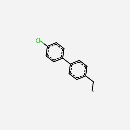 [CH2]Cc1ccc(-c2ccc(Cl)cc2)cc1